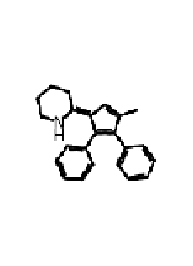 CC1=CC(=C2CCCCN2)C(c2ccccc2)=C1c1ccccc1